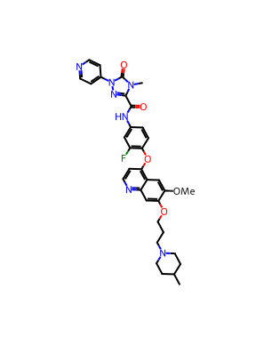 COc1cc2c(Oc3ccc(NC(=O)c4nn(-c5ccncc5)c(=O)n4C)cc3F)ccnc2cc1OCCCN1CCC(C)CC1